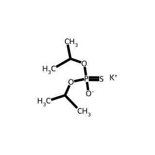 CC(C)OP([O-])(=S)OC(C)C.[K+]